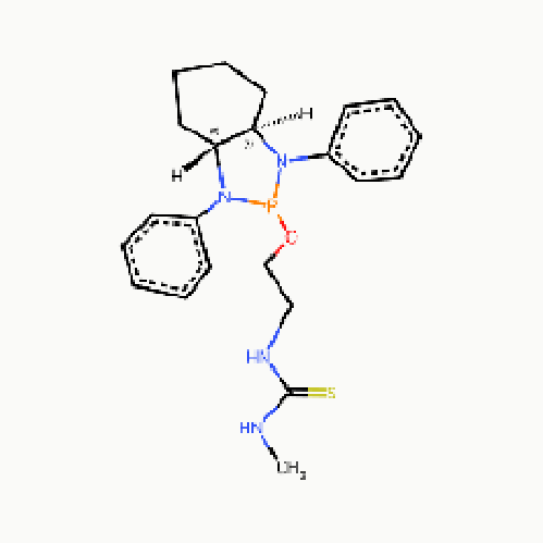 CNC(=S)NCCOP1N(c2ccccc2)[C@@H]2CCCC[C@H]2N1c1ccccc1